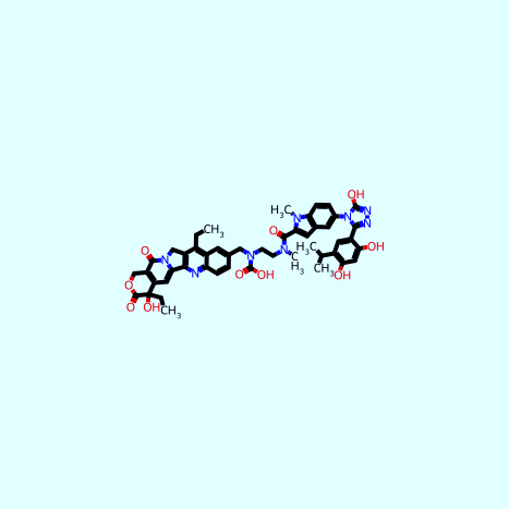 CCc1c2c(nc3ccc(CN(CCN(C)C(=O)c4cc5cc(-n6c(O)nnc6-c6cc(C(C)C)c(O)cc6O)ccc5n4C)C(=O)O)cc13)-c1cc3c(c(=O)n1C2)COC(=O)C3(O)CC